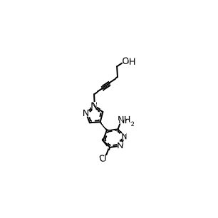 Nc1nnc(Cl)cc1-c1cnn(CC#CCCO)c1